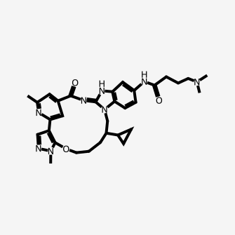 Cc1cc2cc(n1)-c1cnn(C)c1OCCCC(C1CC1)CN1/C(=N/C2=O)Nc2cc(NC(=O)CCCN(C)C)ccc21